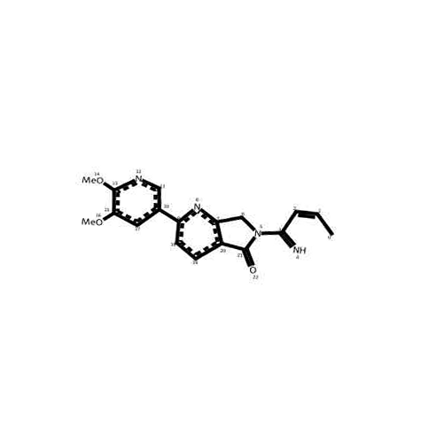 C/C=C\C(=N)N1Cc2nc(-c3cnc(OC)c(OC)c3)ccc2C1=O